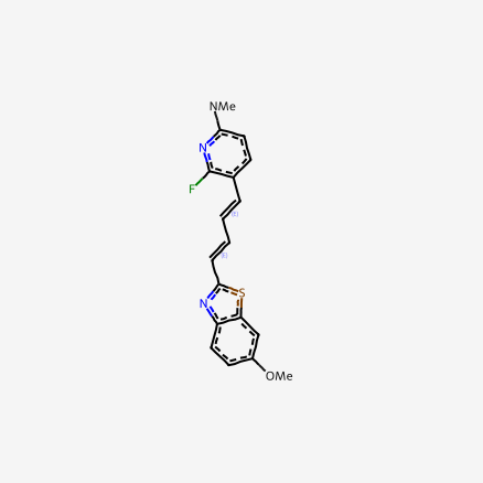 CNc1ccc(/C=C/C=C/c2nc3ccc(OC)cc3s2)c(F)n1